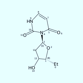 CC[C@H]1O[C@H](n2c(=O)cc[nH]c2=O)CC1O